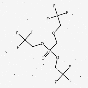 O=P(COCC(F)(F)F)(OCC(F)(F)F)OCC(F)(F)F